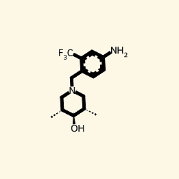 C[C@@H]1CN(Cc2ccc(N)cc2C(F)(F)F)C[C@H](C)[C@H]1O